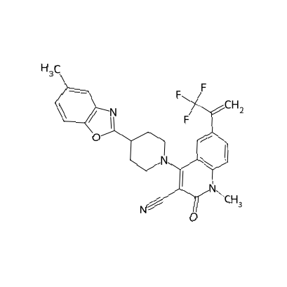 C=C(c1ccc2c(c1)c(N1CCC(c3nc4cc(C)ccc4o3)CC1)c(C#N)c(=O)n2C)C(F)(F)F